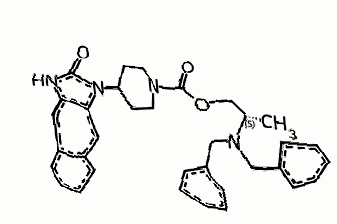 C[C@@H](COC(=O)N1CCC(n2c(=O)[nH]c3cc4ccccc4cc32)CC1)N(Cc1ccccc1)Cc1ccccc1